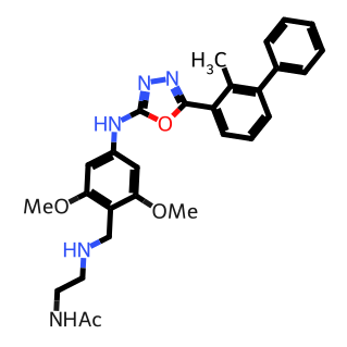 COc1cc(Nc2nnc(-c3cccc(-c4ccccc4)c3C)o2)cc(OC)c1CNCCNC(C)=O